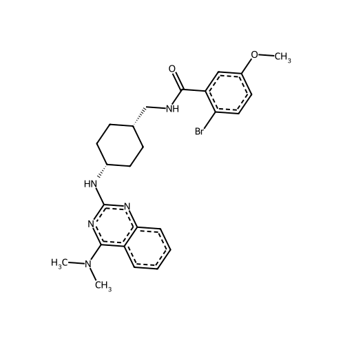 COc1ccc(Br)c(C(=O)NC[C@H]2CC[C@@H](Nc3nc(N(C)C)c4ccccc4n3)CC2)c1